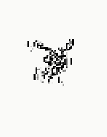 COCC#CCOc1nc(-c2ccncc2)nc(NS(=O)(=O)c2ccc(C(C)C)cn2)c1Oc1ccccc1OC